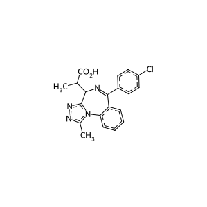 Cc1nnc2n1-c1ccccc1C(c1ccc(Cl)cc1)=NC2C(C)C(=O)O